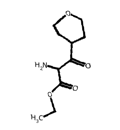 CCOC(=O)C(N)C(=O)C1CCOCC1